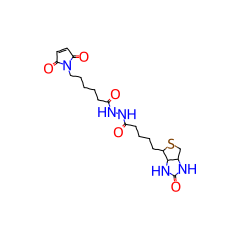 O=C(CCCCCN1C(=O)C=CC1=O)NNC(=O)CCCCC1SCC2NC(=O)NC21